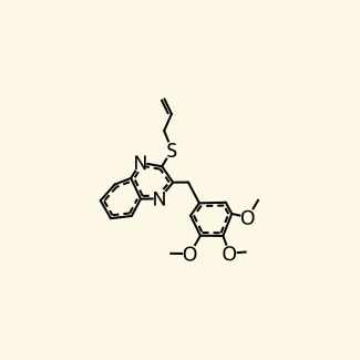 C=CCSc1nc2ccccc2nc1Cc1cc(OC)c(OC)c(OC)c1